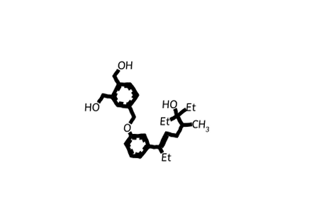 CCC(=CCC(C)C(O)(CC)CC)c1cccc(OCc2ccc(CO)c(CO)c2)c1